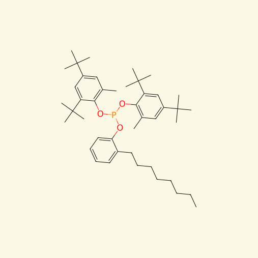 CCCCCCCCc1ccccc1OP(Oc1c(C)cc(C(C)(C)C)cc1C(C)(C)C)Oc1c(C)cc(C(C)(C)C)cc1C(C)(C)C